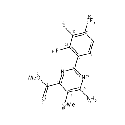 COC(=O)c1nc(-c2ccc(C(F)(F)F)c(F)c2F)nc(N)c1OC